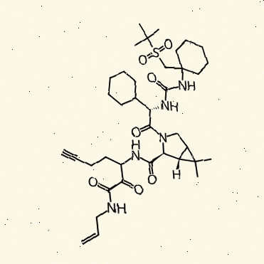 C#CCCC(NC(=O)[C@@H]1[C@@H]2C(CN1C(=O)[C@@H](NC(=O)NC1(CS(=O)(=O)C(C)(C)C)CCCCC1)C1CCCCC1)C2(C)C)C(=O)C(=O)NCC=C